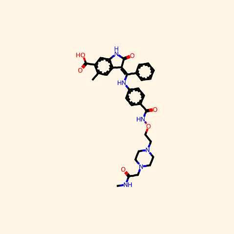 CNC(=O)CN1CCN(CCONC(=O)c2ccc(NC(=C3C(=O)Nc4cc(C(=O)O)c(C)cc43)c3ccccc3)cc2)CC1